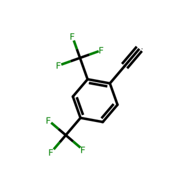 [C]#Cc1ccc(C(F)(F)F)cc1C(F)(F)F